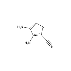 N#Cc1scc(N)c1N